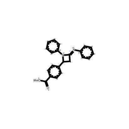 COC(=O)c1ccc(C2C/C(=N\c3ccccc3)N2c2ccccc2)cc1